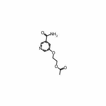 CC(=O)OCCOc1cncc(C(N)=O)c1